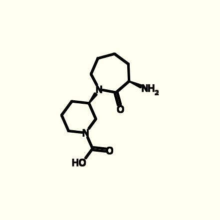 N[C@@H]1CCCCN([C@@H]2CCCN(C(=O)O)C2)C1=O